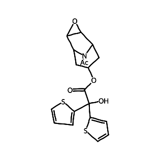 CC(=O)N1C2CC(OC(=O)C(O)(c3cccs3)c3cccs3)CC1C1OC12